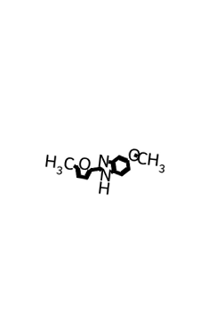 COc1ccc2[nH]c(-c3ccc(C)o3)nc2c1